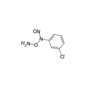 NON(N=O)c1cccc(Cl)c1